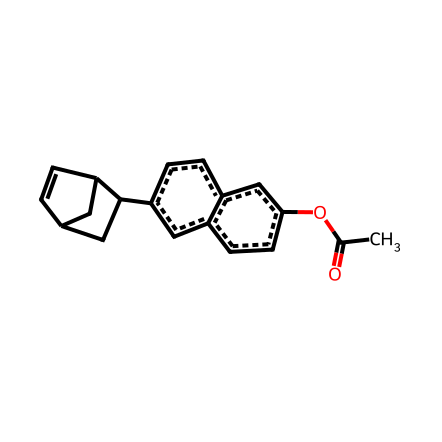 CC(=O)Oc1ccc2cc(C3CC4C=CC3C4)ccc2c1